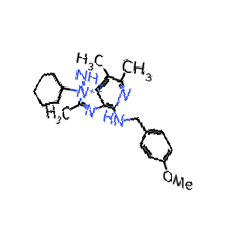 COc1ccc(CNc2nc(C)c(C)c3c2N=C(C)[N+]3(N)C2CCCCC2)cc1